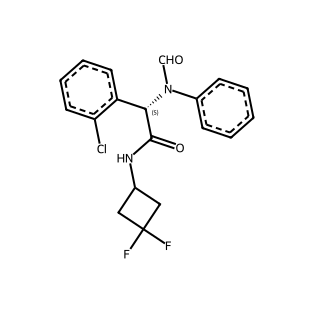 O=CN(c1ccccc1)[C@H](C(=O)NC1CC(F)(F)C1)c1ccccc1Cl